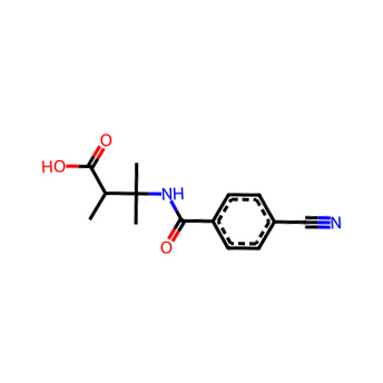 CC(C(=O)O)C(C)(C)NC(=O)c1ccc(C#N)cc1